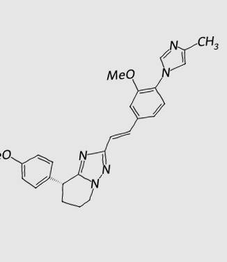 COc1ccc([C@H]2CCCn3nc(/C=C/c4ccc(-n5cnc(C)c5)c(OC)c4)nc32)cc1